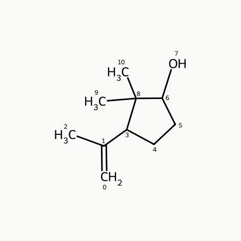 C=C(C)C1CCC(O)C1(C)C